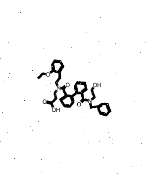 CCOc1ccccc1CCN(CCC(=O)O)C(=O)c1ccccc1-c1ccccc1C(=O)N(CCO)Cc1ccccc1